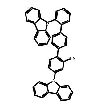 N#Cc1cc(-n2c3ccccc3c3ccccc32)ccc1-c1ccc(-c2ccccc2-n2c3ccccc3c3ccccc32)cc1